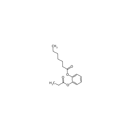 CCCCCCC(=O)Oc1ccccc1OC(=O)CC